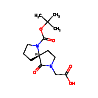 CC(C)(C)OC(=O)N1CCC[C@]12CCN(CC(=O)O)C2=O